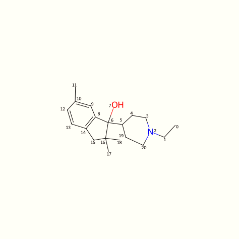 CCN1CCC(C2(O)c3cc(C)ccc3CC2(C)C)CC1